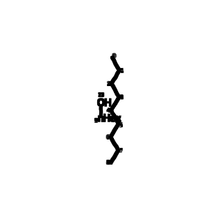 CCCCCCCCC.CCCCCCO